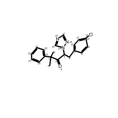 CC(C)(C(=O)C(Cc1ccc(Cl)cc1)n1cncn1)c1ccccc1